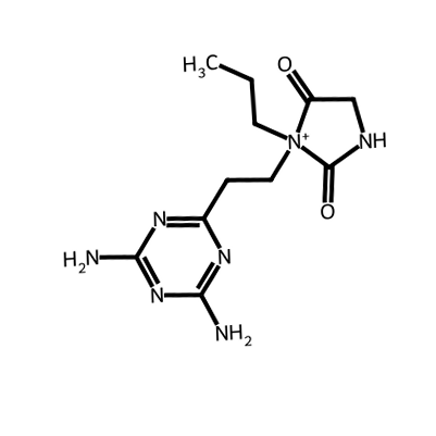 CCC[N+]1(CCc2nc(N)nc(N)n2)C(=O)CNC1=O